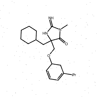 CC(C)C1=CC=CC(OCC2(CC3CCCCC3)NC(=N)N(C)C2=O)C1